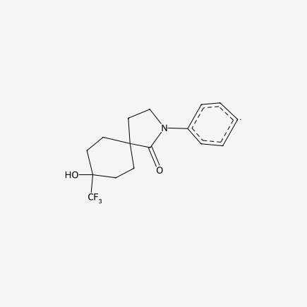 O=C1N(c2cc[c]cc2)CCC12CCC(O)(C(F)(F)F)CC2